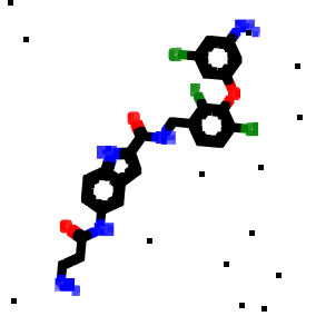 NCCC(=O)Nc1ccc2[nH]c(C(=O)NCc3ccc(Cl)c(Oc4cc(N)cc(Cl)c4)c3F)cc2c1